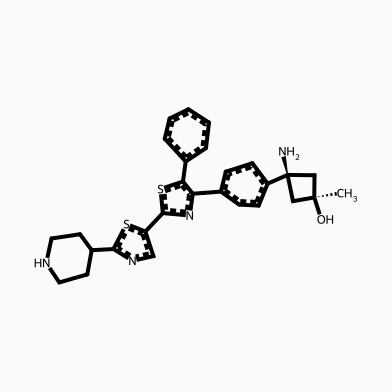 C[C@]1(O)C[C@](N)(c2ccc(-c3nc(-c4cnc(C5CCNCC5)s4)sc3-c3ccccc3)cc2)C1